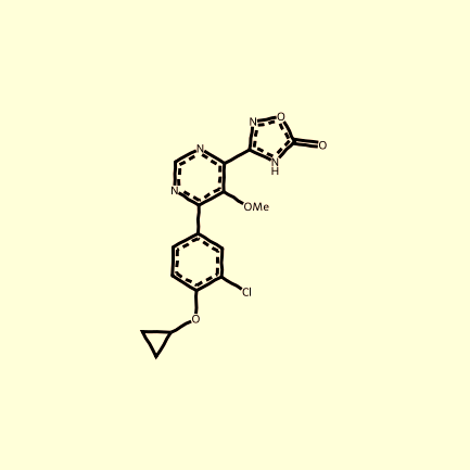 COc1c(-c2ccc(OC3CC3)c(Cl)c2)ncnc1-c1noc(=O)[nH]1